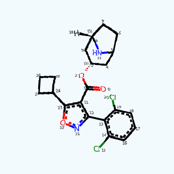 O=C(O[C@H]1CC2CC[C@@H](C1)N2)c1c(-c2c(Cl)cccc2Cl)noc1C1CCC1